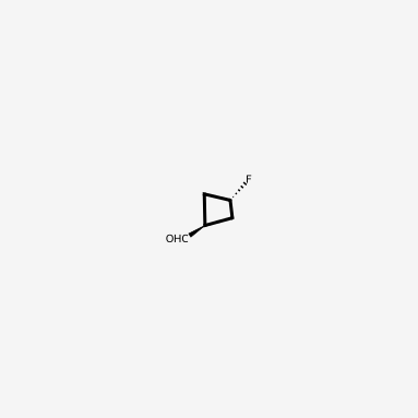 O=C[C@H]1C[C@H](F)C1